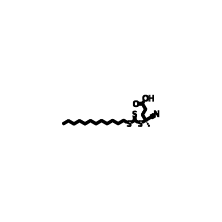 CCCCCCCCCCCCSC(=S)S[C@](C)(C#N)CCC(=O)O